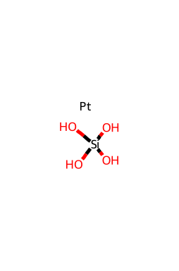 O[Si](O)(O)O.[Pt]